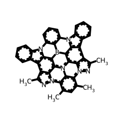 Cc1nn2c3c(C)cc(C)c4c3-n3c5c6c7c(c8ccccc8n7-c7cccc8c7B6c6c7c(c9ccccc9n7-8)c7c(C)nn4c7c63)c1c52